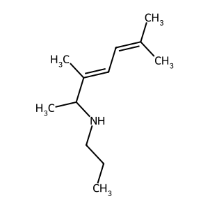 CCCNC(C)/C(C)=C/C=C(C)C